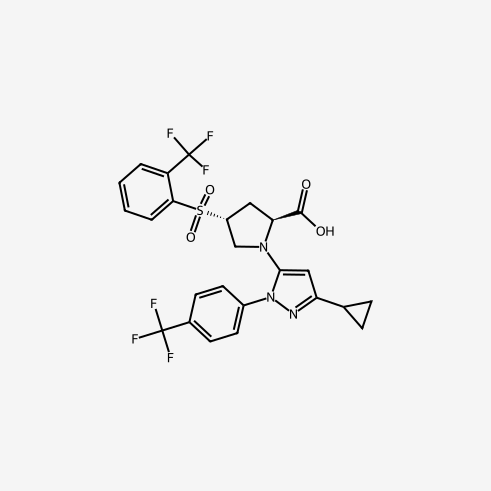 O=C(O)[C@@H]1C[C@@H](S(=O)(=O)c2ccccc2C(F)(F)F)CN1c1cc(C2CC2)nn1-c1ccc(C(F)(F)F)cc1